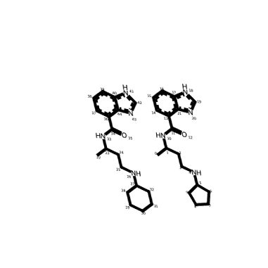 CC(CCNC1CCCC1)NC(=O)c1cccc2[nH]cnc12.CC(CCNC1CCCCC1)NC(=O)c1cccc2[nH]cnc12